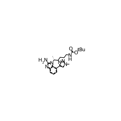 C[C@H](CCCCNC(=O)OC(C)(C)C)n1c(N)nc2cccc(-c3cn(C)nn3)c21